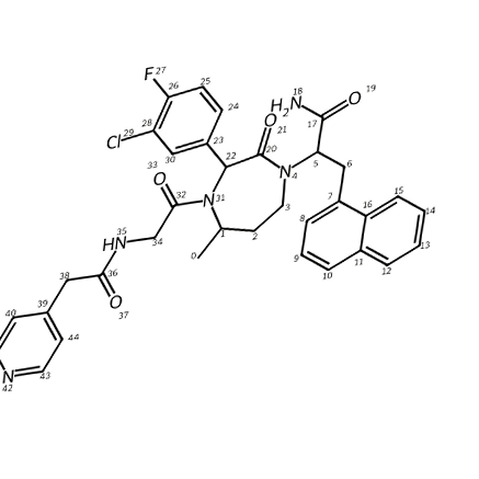 CC1CCN(C(Cc2cccc3ccccc23)C(N)=O)C(=O)C(c2ccc(F)c(Cl)c2)N1C(=O)CNC(=O)Cc1ccncc1